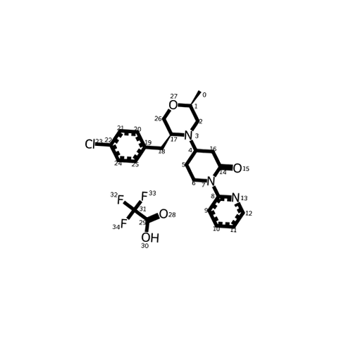 C[C@H]1CN(C2CCN(c3ccccn3)C(=O)C2)[C@@H](Cc2ccc(Cl)cc2)CO1.O=C(O)C(F)(F)F